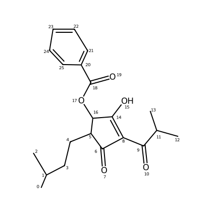 CC(C)CCC1C(=O)C(C(=O)C(C)C)=C(O)C1OC(=O)c1ccccc1